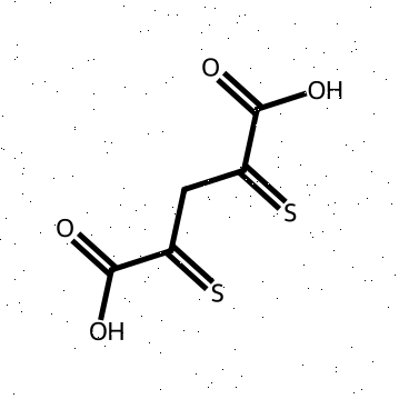 O=C(O)C(=S)CC(=S)C(=O)O